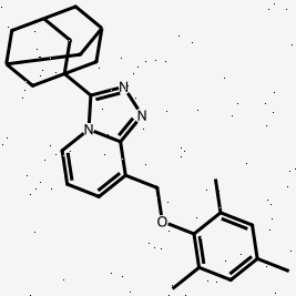 Cc1cc(C)c(OCc2cccn3c(C45CC6CC(CC(C6)C4)C5)nnc23)c(C)c1